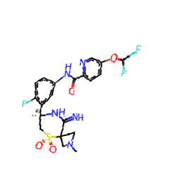 CN1CC2(C1)C(=N)N[C@](C)(c1cc(NC(=O)c3ccc(OC(F)F)cn3)ccc1F)CS2(=O)=O